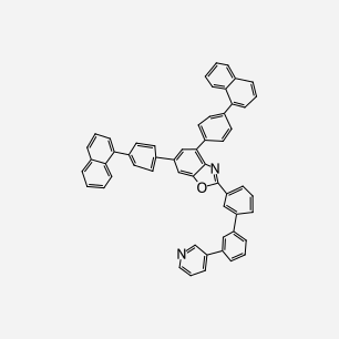 c1cncc(-c2cccc(-c3cccc(-c4nc5c(-c6ccc(-c7cccc8ccccc78)cc6)cc(-c6ccc(-c7cccc8ccccc78)cc6)cc5o4)c3)c2)c1